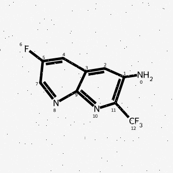 Nc1cc2cc(F)cnc2nc1C(F)(F)F